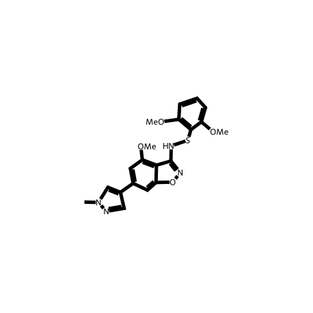 COc1cccc(OC)c1SNc1noc2cc(-c3cnn(C)c3)cc(OC)c12